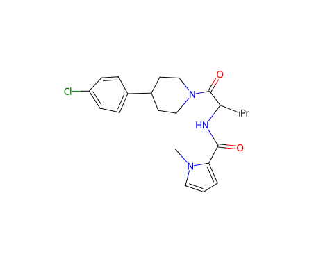 CC(C)C(NC(=O)c1cccn1C)C(=O)N1CCC(c2ccc(Cl)cc2)CC1